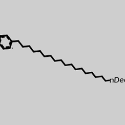 CCCCCCCCCCCCCCCCCCCCCCCCCCCCc1[c]cccc1